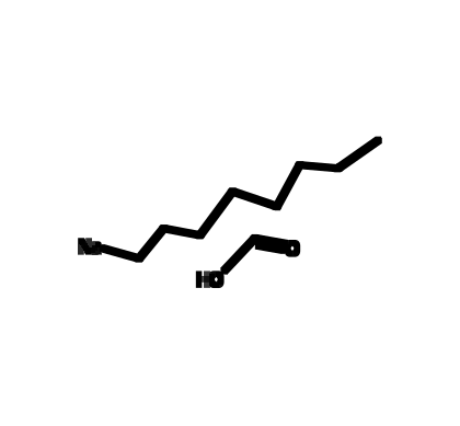 CCCCCCC[CH2][Na].O=CO